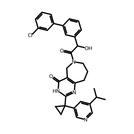 CC(C)c1cncc(C2(c3nc4c(c(=O)[nH]3)CN(C(=O)C(O)c3cccc(-c5cccc(Cl)c5)c3)CCC4)CC2)c1